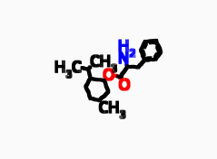 CC1CCC(C(C)C)C(OC(=O)[C@@H](N)Cc2ccccc2)C1